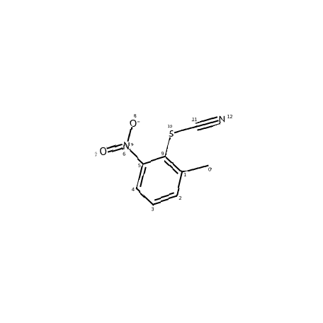 Cc1cccc([N+](=O)[O-])c1SC#N